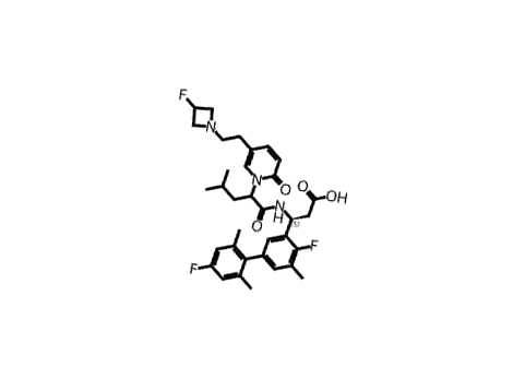 Cc1cc(-c2c(C)cc(F)cc2C)cc([C@H](CC(=O)O)NC(=O)C(CC(C)C)n2cc(CCN3CC(F)C3)ccc2=O)c1F